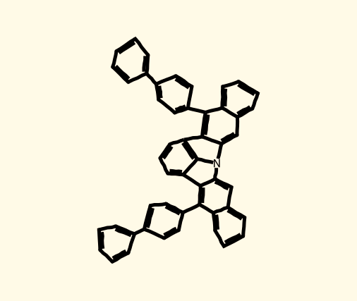 c1ccc(-c2ccc(-c3c4ccccc4cc4c3c3cccc5c6c(-c7ccc(-c8ccccc8)cc7)c7ccccc7cc6n4c35)cc2)cc1